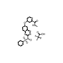 CNC(=O)c1cc(Oc2ccc3nc(N(Cl)S(=O)(=O)c4ccccc4)nnc3c2)ccn1.O=C(O)C(F)(F)F